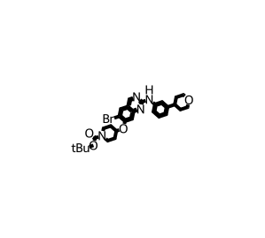 CC(C)(C)OC(=O)N1CCC(Oc2cc3nc(Nc4cccc(C5CCOCC5)c4)ncc3cc2Br)CC1